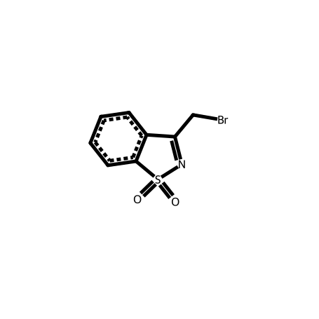 O=S1(=O)N=C(CBr)c2ccccc21